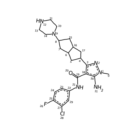 Cn1nc(C2CC3CC(N4CCNCC4)CC3C2)c(C(=O)Nc2ccc(F)c(Cl)c2)c1N